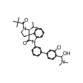 CC(C)[C@@H]1N(C(=O)C(C)(C)C)CC[C@@]12C(=O)N(c1cccc(-c3ccc(C(O)N(C)C)c(Cl)c3)c1)c1ccccc12